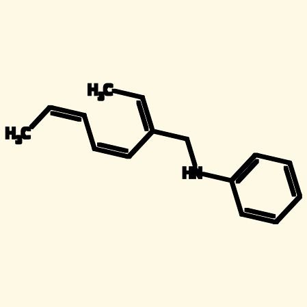 C\C=C/C=C\C(=C/C)CNc1ccccc1